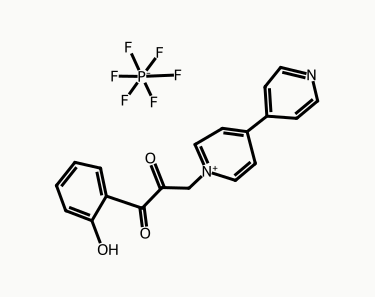 F[P-](F)(F)(F)(F)F.O=C(C[n+]1ccc(-c2ccncc2)cc1)C(=O)c1ccccc1O